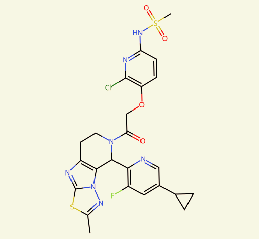 Cc1nn2c3c(nc2s1)CCN(C(=O)COc1ccc(NS(C)(=O)=O)nc1Cl)C3c1ncc(C2CC2)cc1F